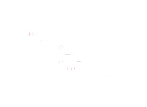 CCCCCC(O)CC(=O)OCCCO